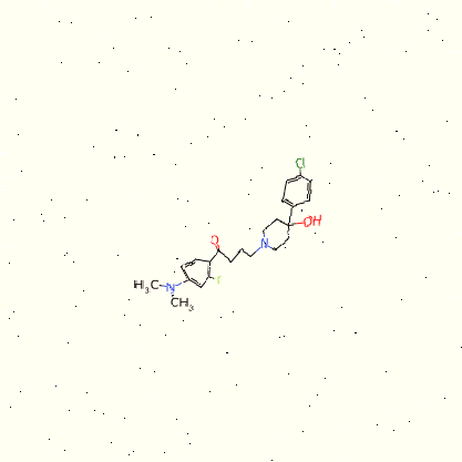 CN(C)c1ccc(C(=O)CCCN2CCC(O)(c3ccc(Cl)cc3)CC2)c(F)c1